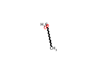 CCCC/C=C/CCCCCCCCC(=O)OC